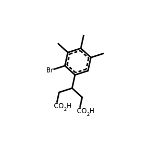 Cc1cc(C(CC(=O)O)CC(=O)O)c(Br)c(C)c1C